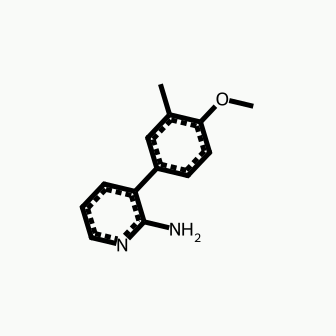 COc1ccc(-c2cccnc2N)cc1C